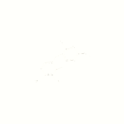 COc1ccc(Cc2cnc(N)nc2N)c(C)c1OC